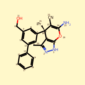 Cc1n[nH]c2c1[C@@](c1cc(CO)cc(-c3ccccc3)c1)(C(C)C)C(C#N)=C(N)O2